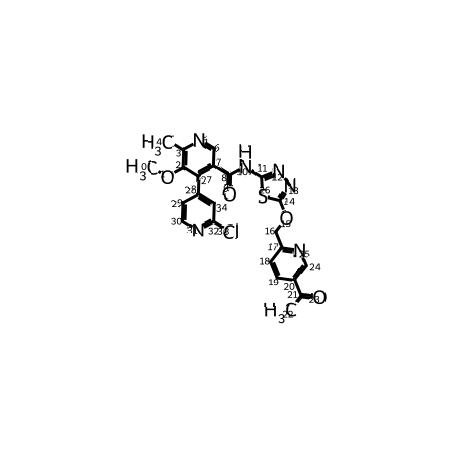 COc1c(C)ncc(C(=O)Nc2nnc(OCc3ccc(C(C)=O)cn3)s2)c1-c1ccnc(Cl)c1